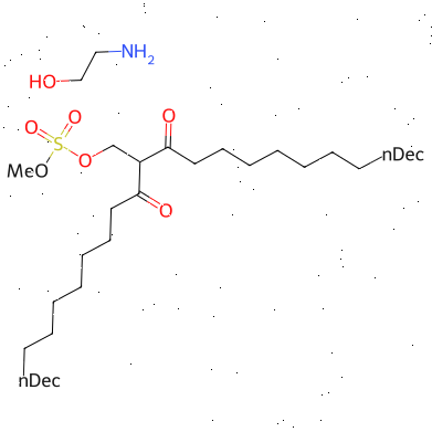 CCCCCCCCCCCCCCCCCC(=O)C(COS(=O)(=O)OC)C(=O)CCCCCCCCCCCCCCCCC.NCCO